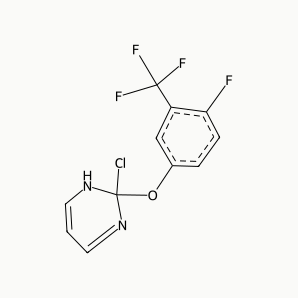 Fc1ccc(OC2(Cl)N=CC=CN2)cc1C(F)(F)F